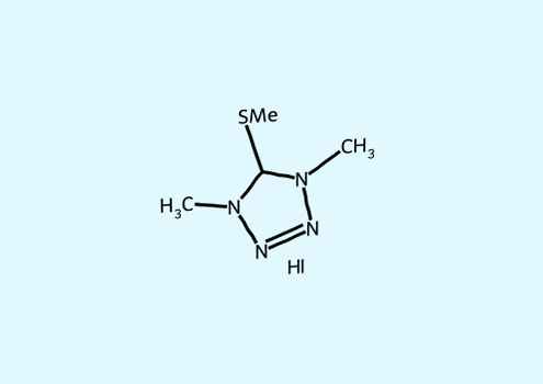 CSC1N(C)N=NN1C.I